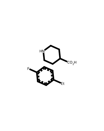 CCc1ccc(F)cc1.O=C(O)C1CCNCC1